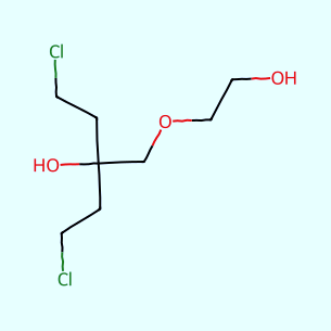 OCCOCC(O)(CCCl)CCCl